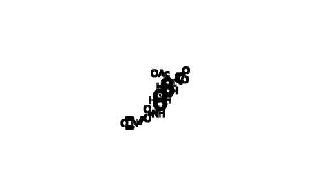 CC(=O)O[C@H]1C[C@]2(O)[C@@H]3CC[C@@H]4C[C@@H](NC(=O)OCCN5CCOCC5)CC[C@]4(C)[C@H]3CC[C@]2(C)[C@H]1C1=CC(=O)OC1